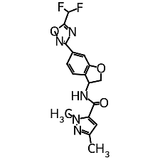 Cc1cc(C(=O)NC2COc3cc(-c4noc(C(F)F)n4)ccc32)n(C)n1